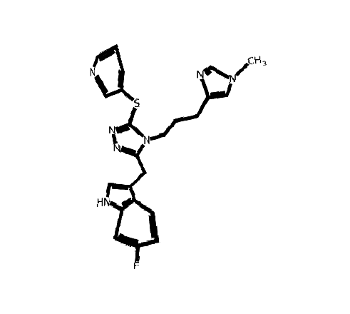 Cn1cnc(CCCn2c(Cc3c[nH]c4cc(F)ccc34)nnc2Sc2cccnc2)c1